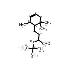 CC1C=CCC(C)(C)C1CCC(C=O)SC(C)(C)C(=O)O